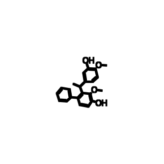 COc1ccc(C(C)c2c(-c3ccccc3)ccc(O)c2OC)cc1O